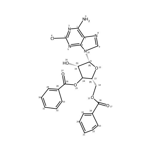 Nc1nc(Cl)nc2c1ncn2[C@@H]1O[C@H](COC(=O)c2ccccc2)C(OC(=O)c2ccccc2)[C@@H]1O